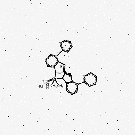 CCC1=Cc2c(-c3ccccn3)cccc2[CH]1[Zr]([CH3])([CH3])(=[SiH2])[CH]1C(CC)=Cc2c(-c3ccccn3)cccc21.Cl.Cl